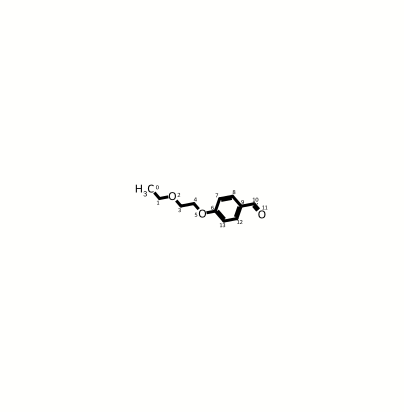 CCOCCOc1ccc([C]=O)cc1